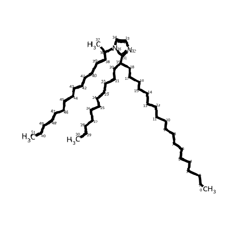 CCCCCCCCCCCCCCCCCCCC(CCCCCCCCCCC)c1nccn1C(C)CCCCCCCCCCCCCC